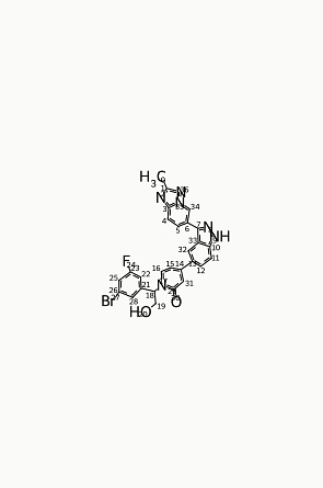 Cc1nc2ccc(-c3n[nH]c4ccc(-c5ccn(C(CO)c6cc(F)cc(Br)c6)c(=O)c5)cc34)cn2n1